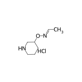 CC=NOC1CCCNC1.Cl